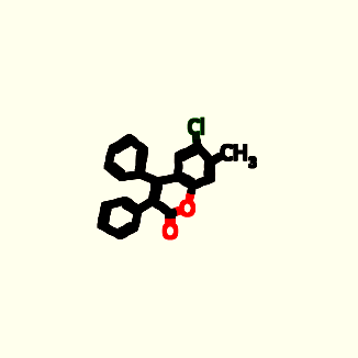 Cc1cc2oc(=O)c(-c3ccccc3)c(-c3ccccc3)c2cc1Cl